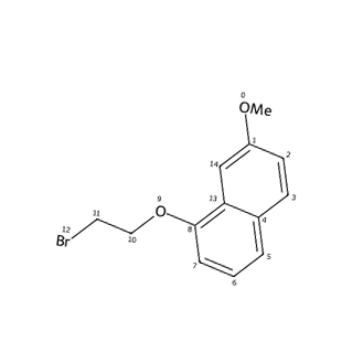 COc1ccc2cccc(OCCBr)c2c1